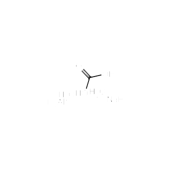 O.O.O=C(O)O.[AlH3].[NaH]